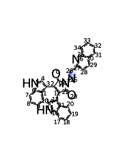 O=C1C(c2c[nH]c3ccccc23)=C(c2c[nH]c3ccccc23)C(=O)N1/N=C/c1ccc2ccccc2n1